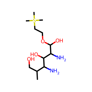 CC(CO)C(N)C(O)C(N)C(O)OCCS(C)(C)C